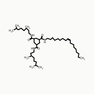 CCCCCCCC/C=C\CCCCCCCCNC(=O)C1CC(C(=O)NCCC(C)CCCC(C)C)CC(C(=O)NCCC(C)CCCC(C)C)C1